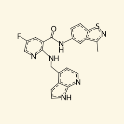 Cc1nsc2ccc(NC(=O)c3cc(F)cnc3NCc3ccnc4[nH]ccc34)cc12